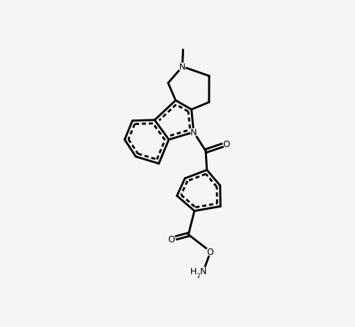 CN1CCc2c(c3ccccc3n2C(=O)c2ccc(C(=O)ON)cc2)C1